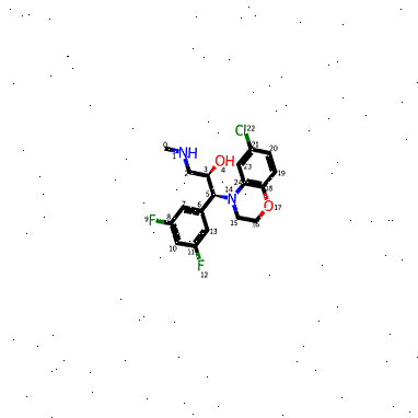 CNC[C@@H](O)[C@H](c1cc(F)cc(F)c1)N1CCOc2ccc(Cl)cc21